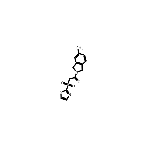 Cc1ccc2c(c1)CN(C(=O)CS(=O)(=O)c1nccs1)C2